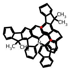 CC1(C)c2ccccc2-c2ccc(-c3ccccc3N(c3ccccc3-c3cccc4c3C(C)(C)c3ccccc3-4)c3ccccc3-c3cccc4sc5c6ccccc6ccc5c34)cc21